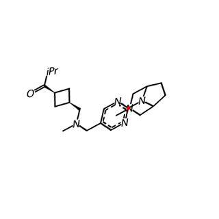 CC(C)C(=O)[C@H]1C[C@@H](CN(C)Cc2cnc(N3C4CCC3CN(C)C4)nc2)C1